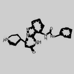 O=C(Nc1ccccc1)Nc1cccc2nn3c(C4CCNCC4)cc(=O)[nH]c3c12